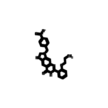 CCCOc1ccccc1-c1nc2cc3c(cc2c(=O)[nH]1)NCN3Cc1ccc([N+](=O)[O-])cc1